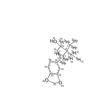 [2H]C([2H])([2H])C(C([2H])([2H])[2H])(C([2H])([2H])[2H])C([2H])(O)/C=C/c1ccc2c(c1)OCO2